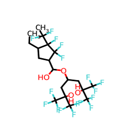 CCC1CC(C(O)OC(CC(O)(C(F)(F)F)C(F)(F)F)CC(O)(C(F)(F)F)C(F)(F)F)C(F)(F)C1(F)C(C)(F)F